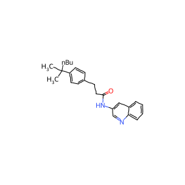 CCCCC(C)(C)c1ccc(CCC(=O)Nc2cnc3ccccc3c2)cc1